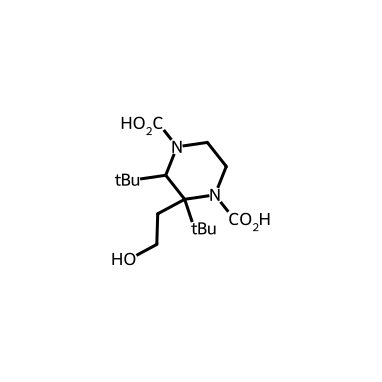 CC(C)(C)C1N(C(=O)O)CCN(C(=O)O)C1(CCO)C(C)(C)C